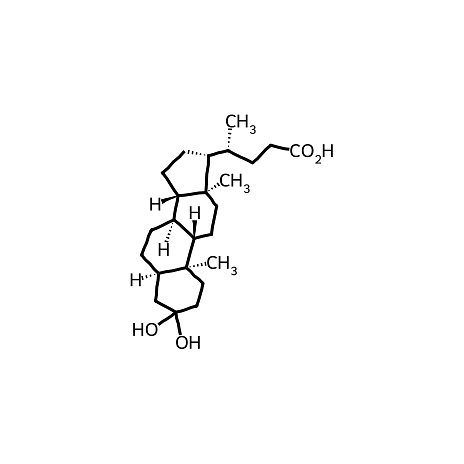 C[C@H](CCC(=O)O)[C@H]1CC[C@H]2[C@@H]3CC[C@@H]4CC(O)(O)CC[C@]4(C)[C@H]3CC[C@]12C